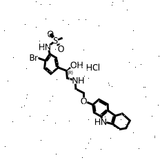 CS(=O)(=O)Nc1cc([C@@H](O)CNCCOc2ccc3c4c([nH]c3c2)CCCC4)ccc1Br.Cl